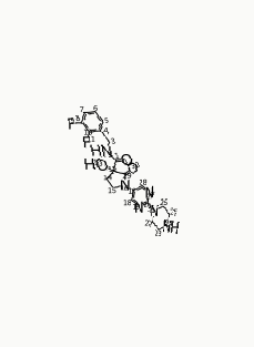 O=C(NCc1cccc(F)c1F)C1(O)CCN(c2cnc(N3CCNCC3)nc2)C1=O